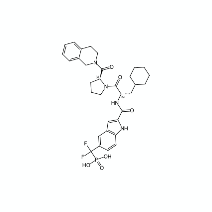 O=C(N[C@@H](CC1CCCCC1)C(=O)N1CCC[C@H]1C(=O)N1CCc2ccccc2C1)c1cc2cc(C(F)(F)P(=O)(O)O)ccc2[nH]1